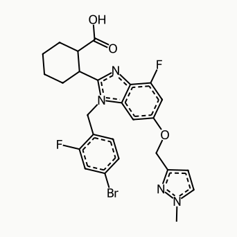 Cn1ccc(COc2cc(F)c3nc(C4CCCCC4C(=O)O)n(Cc4ccc(Br)cc4F)c3c2)n1